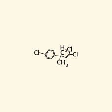 CC(C)(C=C(Cl)Cl)c1ccc(Cl)cc1